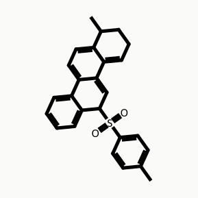 Cc1ccc(S(=O)(=O)C2C=c3c(ccc4c3=CCCC4C)-c3ccccc32)cc1